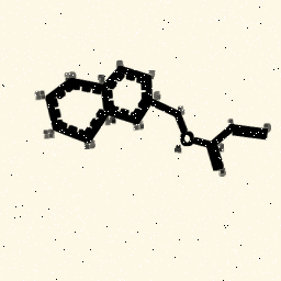 C=CC(=C)OCc1ccc2ccccc2c1